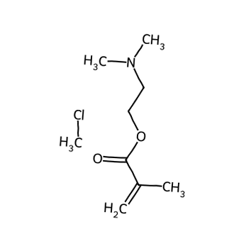 C=C(C)C(=O)OCCN(C)C.CCl